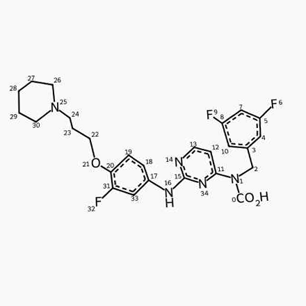 O=C(O)N(Cc1cc(F)cc(F)c1)c1ccnc(Nc2ccc(OCCCN3CCCCC3)c(F)c2)n1